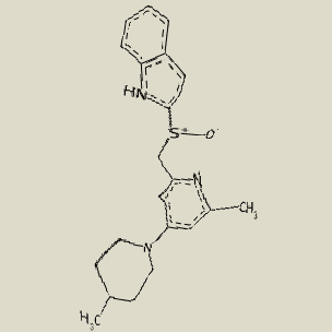 Cc1cc(N2CCC(C)CC2)cc(C[S+]([O-])c2cc3ccccc3[nH]2)n1